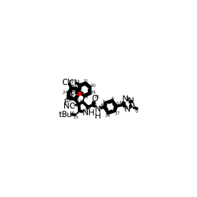 Cn1nnc(-c2ccc(NC(=O)C3N[C@@H](CC(C)(C)C)[C@](C#N)(c4ccc(Cl)cc4F)[C@H]3c3cccc(Cl)c3F)cc2)n1